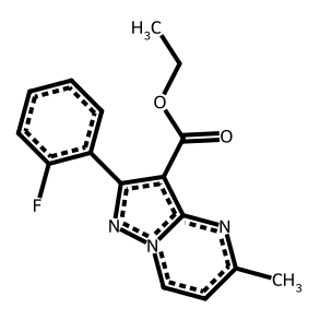 CCOC(=O)c1c(-c2ccccc2F)nn2ccc(C)nc12